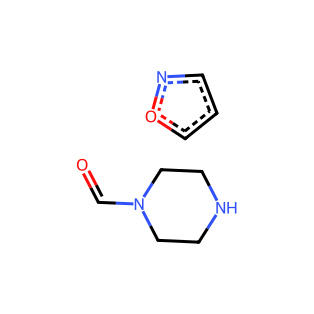 O=CN1CCNCC1.c1cnoc1